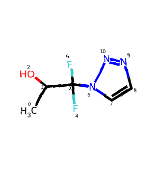 CC(O)C(F)(F)n1ccnn1